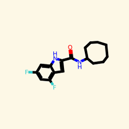 O=C(NC1CCCCCCC1)c1cc2c(F)cc(F)cc2[nH]1